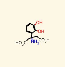 NC(CC(=O)O)(CC(=O)O)c1cccc(O)c1O